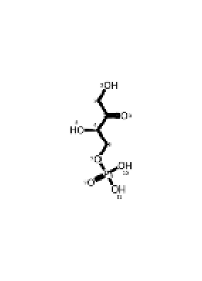 O=C(CO)[C@H](O)COP(=O)(O)O